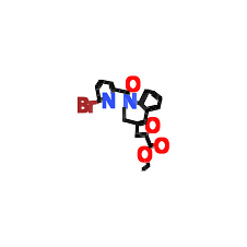 CCOC(=O)c1cc2c(o1)-c1ccccc1N(C(=O)c1cccc(Br)n1)CC2